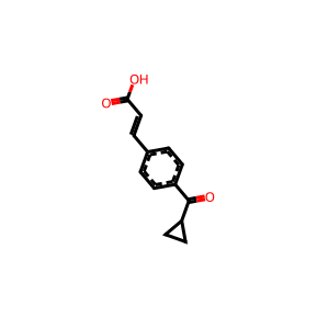 O=C(O)C=Cc1ccc(C(=O)C2CC2)cc1